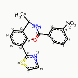 CC(NC(=O)c1cccc([N+](=O)[O-])c1)c1cccc(-c2nccs2)c1